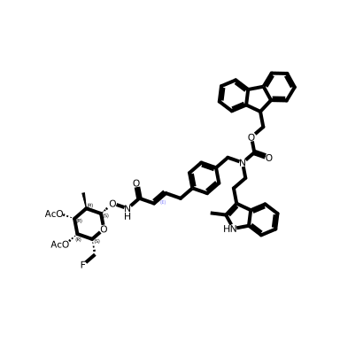 CC(=O)O[C@@H]1[C@@H](C)[C@H](ONC(=O)/C=C/Cc2ccc(CN(CCc3c(C)[nH]c4ccccc34)C(=O)OCC3c4ccccc4-c4ccccc43)cc2)O[C@H](CF)[C@@H]1OC(C)=O